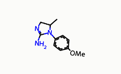 COc1ccc(N2C(N)=NCC2C)cc1